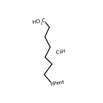 CCCCCCCCCCCC(=O)O.[CsH]